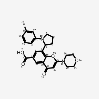 O=C(O)c1cc(C2CCCN2c2cccc(F)c2)c2oc(N3CCOCC3)cc(=O)c2c1